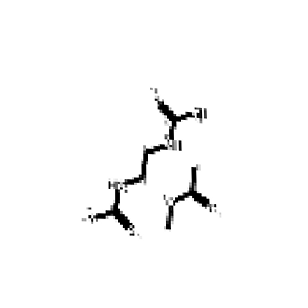 COC(C)=O.S=C(S)NCCNC(=S)S